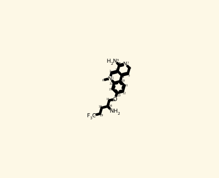 CN1C=C2C(=CCN=C2N)c2ccc(OCC(N)CCC(F)(F)F)cc21